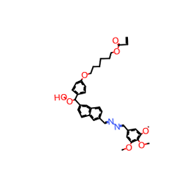 C=CC(=O)OCCCCCCOc1ccc(C(OO)c2ccc3cc(/C=N/N=C/c4cc(OC)c(OC)c(OC)c4)ccc3c2)cc1